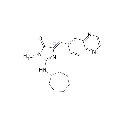 CN1C(=O)/C(=C/c2ccc3nccnc3c2)N=C1NC1CCCCCC1